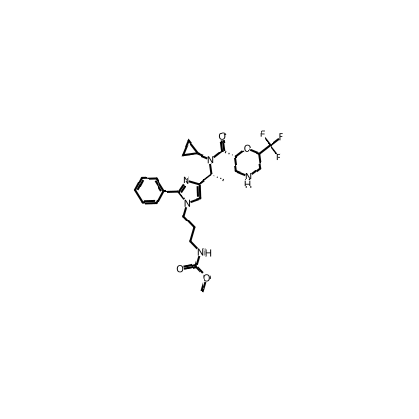 COC(=O)NCCCn1cc([C@@H](C)N(C(=O)[C@H]2CNCC(C(F)(F)F)O2)C2CC2)nc1-c1ccccc1